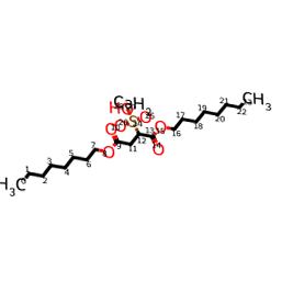 CCCCCCCCOC(=O)CC(C(=O)OCCCCCCCC)S(=O)(=O)O.[CaH2]